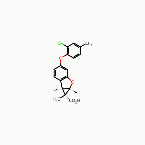 C[C@]1(C(=O)O)[C@@H]2Oc3cc(Oc4ccc(C(F)(F)F)cc4Cl)ccc3[C@@H]21